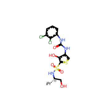 CC(C)[C@@H](CO)NS(=O)(=O)c1scc(NC(=O)Nc2cccc(Cl)c2Cl)c1O